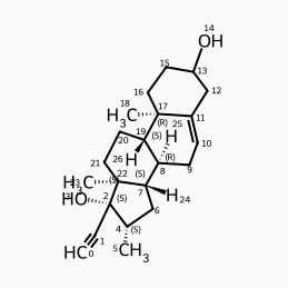 C#C[C@]1(O)[C@@H](C)C[C@H]2[C@@H]3CC=C4CC(O)CC[C@]4(C)[C@H]3CC[C@@]21C